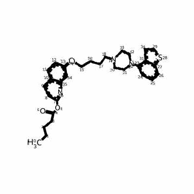 CCCCC(=O)Oc1ccc2ccc(OCCCCN3CCN(c4cccc5sccc45)CC3)cc2n1